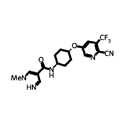 CN/C=C(\C=N)C(=O)N[C@H]1CC[C@H](Oc2cnc(C#N)c(C(F)(F)F)c2)CC1